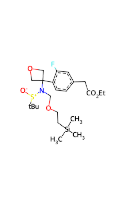 CCOC(=O)Cc1ccc(C2(N(COCC[Si](C)(C)C)[S+]([O-])C(C)(C)C)COC2)c(F)c1